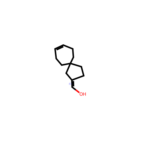 O/C=C1\CCC2(CCC=CCC2)C1